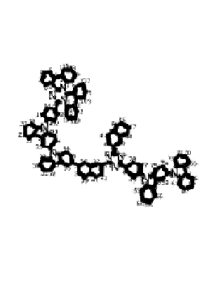 c1ccc(-c2ccccc2-c2nc(-c3ccc(-n4c5ccccc5c5cc(-n6c7ccccc7c7cc(-c8ccc9ccc(-c%10nc(-c%11ccc(-n%12c%13ccccc%13c%13cc(-n%14c%15ccccc%15c%15ccccc%15%14)ccc%13%12)cc%11)nc(-c%11ccc%12ccccc%12c%11)n%10)cc9c8)ccc76)ccc54)cc3)nc(-c3ccccc3-c3ccccc3)n2)cc1